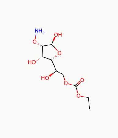 CCOC(=O)OC[C@@H](O)[C@H]1O[C@H](O)[C@@H](ON)[C@H]1O